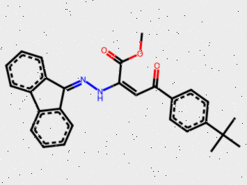 COC(=O)C(=CC(=O)c1ccc(C(C)(C)C)cc1)NN=C1c2ccccc2-c2ccccc21